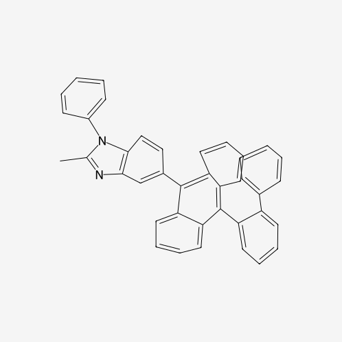 Cc1nc2cc(-c3c4ccccc4c(-c4ccccc4-c4ccccc4)c4ccccc34)ccc2n1-c1ccccc1